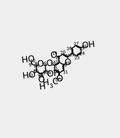 COc1cc(OC2O[C@H](CO)[C@@H](O)[C@H](O)[C@H]2O)c2c(=O)cc(-c3ccc(O)cc3)oc2c1